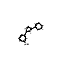 CCC(C)c1cccc(-c2ncc(-c3ccccc3)s2)c1